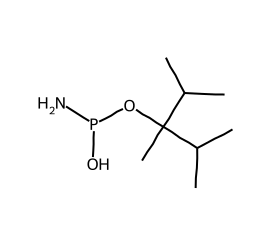 CC(C)C(C)(OP(N)O)C(C)C